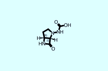 O=C(O)NN1CC[C@H]2NC(=O)[C@H]21